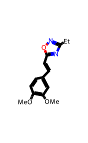 CCc1noc(/C=C/c2ccc(OC)c(OC)c2)n1